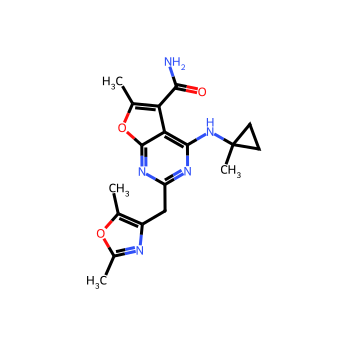 Cc1nc(Cc2nc(NC3(C)CC3)c3c(C(N)=O)c(C)oc3n2)c(C)o1